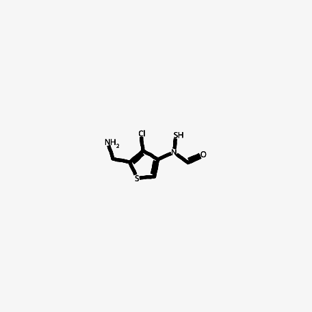 NCc1scc(N(S)C=O)c1Cl